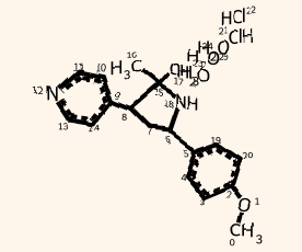 COc1ccc(C2CC(c3ccncc3)C(C)(C)N2)cc1.Cl.Cl.O.O.O